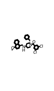 COc1ccc(CN[C@H]2CCN(C(=O)c3cc(Cl)cc(Cl)c3)[C@@H](Cc3ccccc3)C2)c2ccccc12